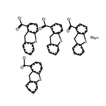 O=C([O-])c1cccc2c1Cc1ccccc1S2.O=C([O-])c1cccc2c1Cc1ccccc1S2.O=C([O-])c1cccc2c1Cc1ccccc1S2.O=C([O-])c1cccc2c1Cc1ccccc1S2.[Mo+4]